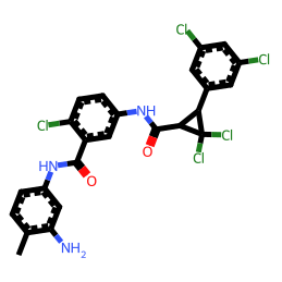 Cc1ccc(NC(=O)c2cc(NC(=O)C3C(c4cc(Cl)cc(Cl)c4)C3(Cl)Cl)ccc2Cl)cc1N